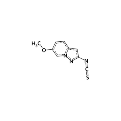 COc1ccc2cc(N=C=S)nn2c1